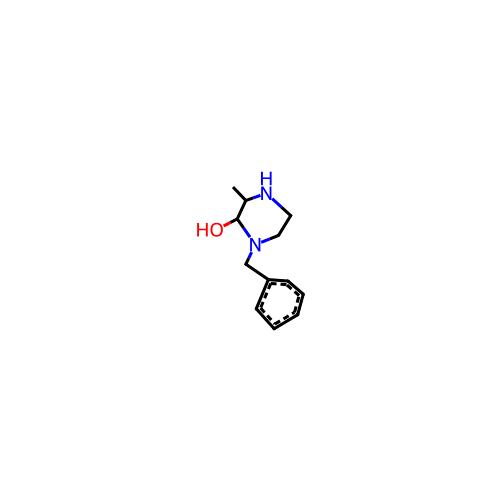 CC1NCCN(Cc2ccccc2)C1O